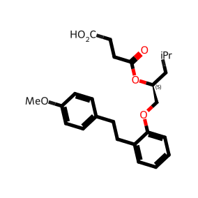 COc1ccc(CCc2ccccc2OC[C@H](CC(C)C)OC(=O)CCC(=O)O)cc1